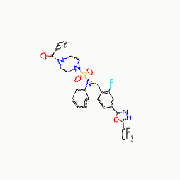 CCC(=O)N1CCN(S(=O)(=O)N(Cc2ccc(-c3nnc(C(F)(F)F)o3)cc2F)c2ccccc2)CC1